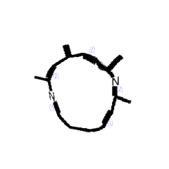 C=C1/C=C\C(=C)/N=C(C)\C=C/CC/C=N\C(C)=C/1